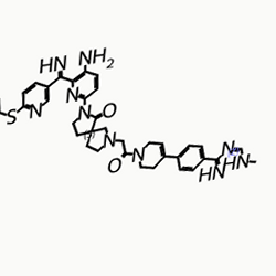 CN/C=N\C(=N)c1ccc(C2=CCN(C(=O)CN3CC[C@]4(CCN(c5ccc(N)c(C(=N)c6ccc(SC(C)C)nc6)n5)C4=O)C3)CC2)cc1